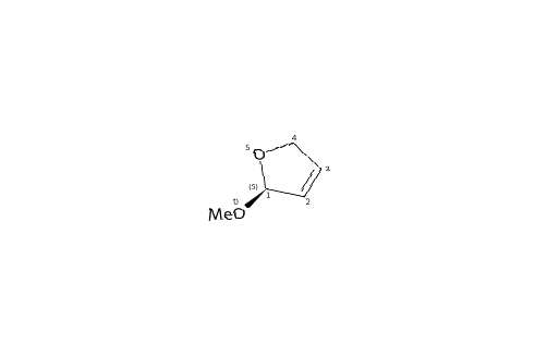 CO[C@@H]1C=CCO1